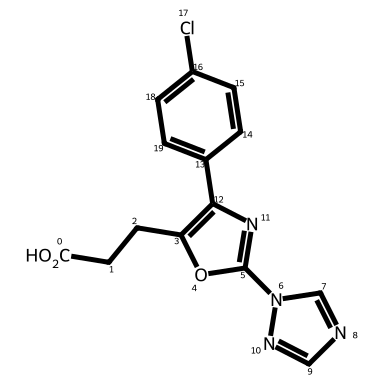 O=C(O)CCc1oc(-n2cncn2)nc1-c1ccc(Cl)cc1